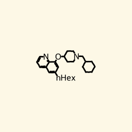 CCCCCCc1cc(OC2CCN(CC3CCCCC3)CC2)c2ncccc2c1